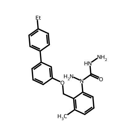 CCc1ccc(-c2cccc(OCc3c(C)cccc3N(N)C(=O)NN)c2)cc1